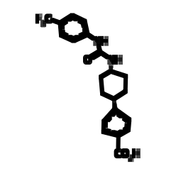 O=C(Nc1ccc(C(F)(F)F)cc1)N[C@H]1CC[C@H](c2ccc(C(=O)O)cc2)CC1